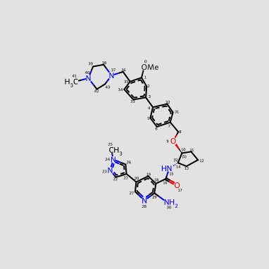 COc1cc(-c2ccc(CO[C@H]3CCC[C@@H]3NC(=O)c3cc(-c4cnn(C)c4)cnc3N)cc2)ccc1CN1CCN(C)CC1